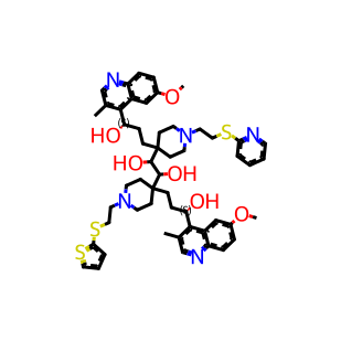 COc1ccc2ncc(C)c([C@@H](O)CCC3(C(O)C(O)C4(CC[C@H](O)c5c(C)cnc6ccc(OC)cc56)CCN(CCSc5cccs5)CC4)CCN(CCSc4ccccn4)CC3)c2c1